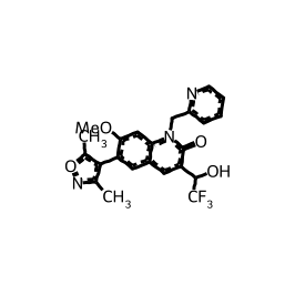 COc1cc2c(cc1-c1c(C)noc1C)cc(C(O)C(F)(F)F)c(=O)n2Cc1ccccn1